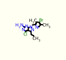 CCCc1nn(Cc2ncc(C)c(Br)c2C)c2nc(N)nc(Cl)c12